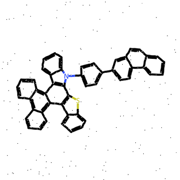 c1ccc2c(c1)ccc1cc(-c3ccc(-n4c5ccccc5c5c6c7ccccc7c7ccccc7c6c6c7ccccc7sc6c54)cc3)ccc12